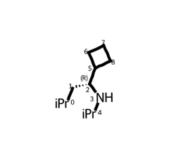 CC(C)C[C@@H](NC(C)C)C1CCC1